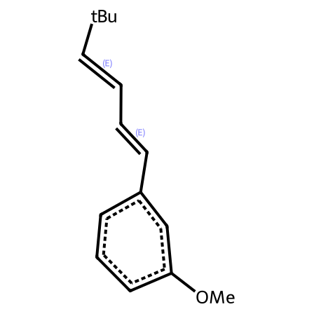 COc1cccc(/C=C/C=C/C(C)(C)C)c1